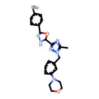 Cc1nc(C2NN=C(c3ccc(C(C)(C)C)cc3)O2)nn1Cc1cccc(N2CCOCC2)c1